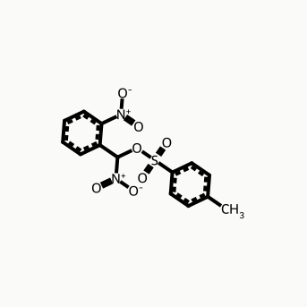 Cc1ccc(S(=O)(=O)OC(c2ccccc2[N+](=O)[O-])[N+](=O)[O-])cc1